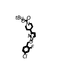 CC(C)(C)OC(=O)N1CCC(c2ccn(OCc3ccc(Cl)cc3F)n2)CC1